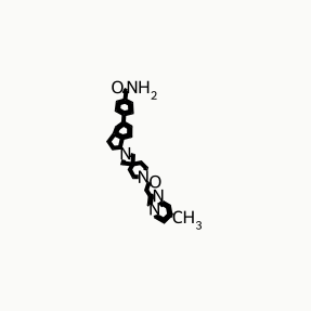 Cc1ccn2cc(CC(=O)N3CCC4(CC3)CN([C@@H]3CCc5cc(-c6ccc(C(N)=O)cc6)ccc53)C4)nc2c1